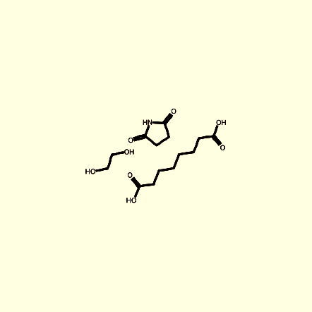 O=C(O)CCCCCCC(=O)O.O=C1CCC(=O)N1.OCCO